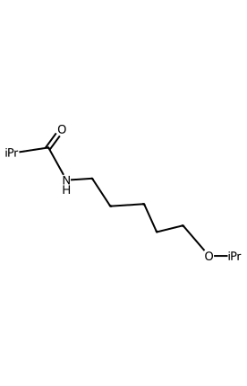 CC(C)OCCCCCNC(=O)C(C)C